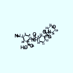 N#Cc1ccc(NC(=O)c2cccc(S(=O)(=O)N3CCOCC3)c2)c(C(=O)O)c1